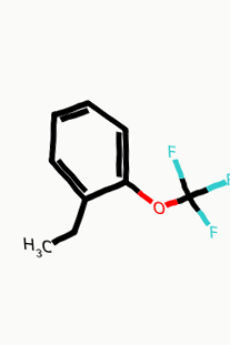 CCc1ccccc1OC(F)(F)F